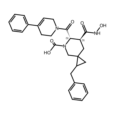 O=C(NO)[C@H]1CC2(CC2Cc2ccccc2)CN(C(=O)O)[C@@H]1C(=O)N1CC=C(c2ccccc2)CC1